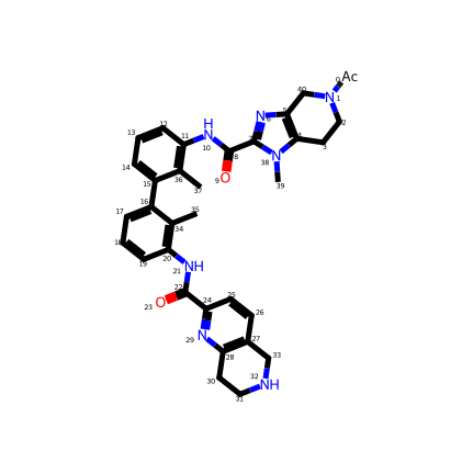 CC(=O)N1CCc2c(nc(C(=O)Nc3cccc(-c4cccc(NC(=O)c5ccc6c(n5)CCNC6)c4C)c3C)n2C)C1